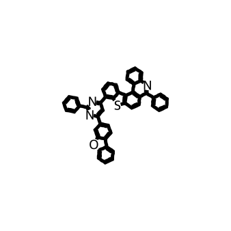 c1ccc(-c2nc(-c3ccc4c(c3)oc3ccccc34)cc(-c3cccc4c3sc3ccc5c(-c6ccccc6)nc6ccccc6c5c34)n2)cc1